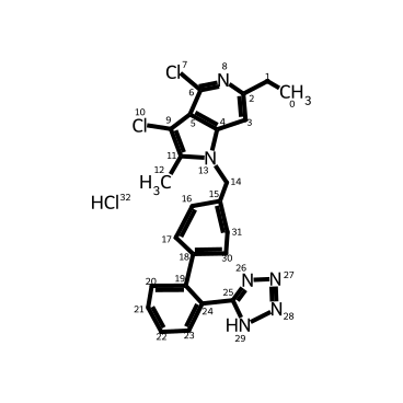 CCc1cc2c(c(Cl)n1)c(Cl)c(C)n2Cc1ccc(-c2ccccc2-c2nnn[nH]2)cc1.Cl